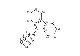 [C]=O.[C]=O.[C]=O.[Fe][CH]1C2=C(CCCC2)C2=C1CCCC2